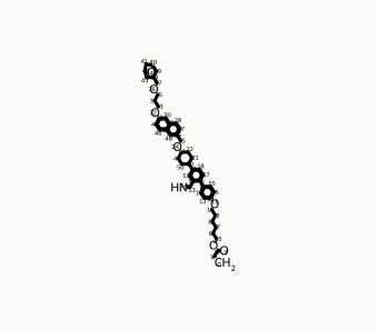 C=CC(=O)OCCCCCCOc1ccc(-c2ccc(C3CCC(OCc4ccc5cc(OCCCOCC6CC7CC(C6)O7)ccc5c4)CC3)cc2C=N)cc1